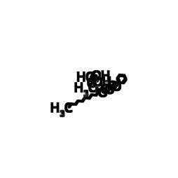 CC=C(CCCCCCCCC)OOOOOc1ccccc1.O=P(O)(O)O